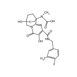 Cc1cc(CNC(=O)c2nc3n(c(=O)c2O)CC2(O)CCC3(N(C)C(=O)O)CC2)ccc1F